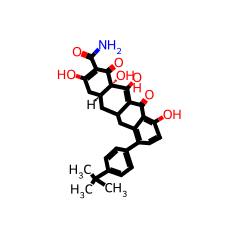 CC(C)(C)c1ccc(-c2ccc(O)c3c2CC2C[C@H]4CC(O)=C(C(N)=O)C(=O)[C@@]4(O)C(O)=C2C3=O)cc1